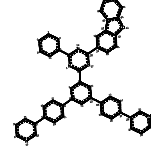 c1ccc(-c2nc(-c3cc(-c4ccc(-c5cccnc5)cc4)cc(-c4ccc(-c5cccnc5)cc4)c3)nc(-c3ccc4oc5ccccc5c4c3)n2)cc1